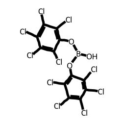 OB(Oc1c(Cl)c(Cl)c(Cl)c(Cl)c1Cl)Oc1c(Cl)c(Cl)c(Cl)c(Cl)c1Cl